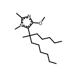 CCCCCCC(C)(CCCCC)c1c(OC)nc(C)n1C